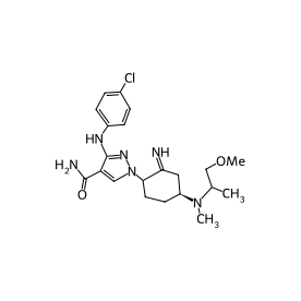 COCC(C)N(C)[C@H]1CCC(n2cc(C(N)=O)c(Nc3ccc(Cl)cc3)n2)C(=N)C1